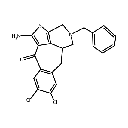 Nc1sc2c3c1C(=O)c1cc(Cl)c(Cl)cc1CC3CN(Cc1ccccc1)C2